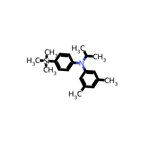 Cc1cc(C)cc(N(c2ccc([Si](C)(C)C)cc2)C(C)C)c1